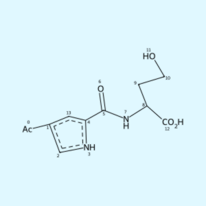 CC(=O)c1c[nH]c(C(=O)NC(CCO)C(=O)O)c1